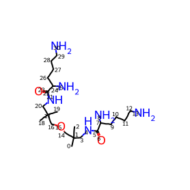 CC(C)(CNC(=O)C(N)CCCCN)COCC(C)(C)CNC(=O)C(N)CCCCN